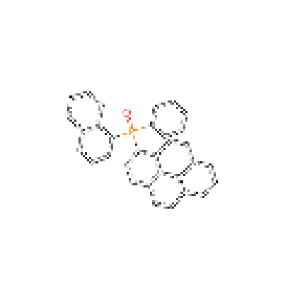 O=P(c1ccccc1)(c1cccc2ccccc12)c1ccc2ccc3cccc4ccc1c2c34